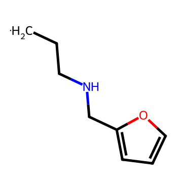 [CH2]CCNCc1ccco1